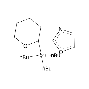 CCC[CH2][Sn]([CH2]CCC)([CH2]CCC)[C]1(c2ncco2)CCCCO1